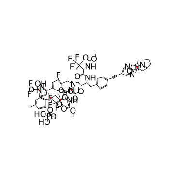 COC(=O)N[C@H](C(=O)N[C@@H](Cc1ccc(C#Cc2cnc(N3CC4CCC(C3)N4C3COC3)nc2)cc1)[C@H](CN(Cc1c(F)cc(-c2ccn(C(F)F)n2)cc1F)NC(=O)[C@@H](NC(=O)OC)C(C)(C)C(F)(F)F)OC(=O)O[C@@H](C)OC(=O)CC(C)(C)c1c(CC(=O)O)cc(C)cc1OP(=O)(O)O)C(C)(C)C(F)(F)F